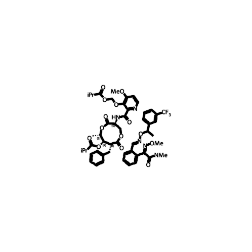 CNC(=O)C(=NOC)c1ccccc1C=NOC(C)c1cccc(C(F)(F)F)c1.COc1ccnc(C(=O)N[C@H]2COC(=O)[C@H](Cc3ccccc3)[C@@H](OC(=O)C(C)C)[C@H](C)OC2=O)c1OCOC(=O)C(C)C